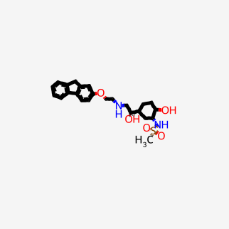 CS(=O)(=O)NC1CC([C@@H](O)CNCCOc2ccc3c(c2)Cc2ccccc2-3)CCC1O